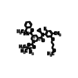 COCCCOc1cc(N(C(=O)[C@@H]2C[C@H](C(=O)N[C@H](C)c3ccccc3)CN(C(=O)OC(C)(C)C)C2)C2CC2)c(F)cc1C